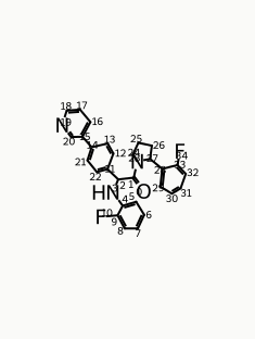 O=C(C(Nc1ccccc1F)c1ccc(-c2cccnc2)cc1)N1CCCC1c1ccccc1F